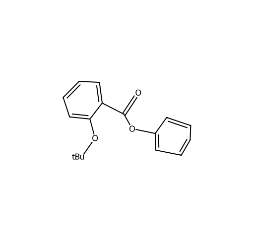 CC(C)(C)Oc1ccccc1C(=O)Oc1ccccc1